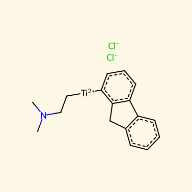 CN(C)C[CH2][Ti+2][c]1cccc2c1Cc1ccccc1-2.[Cl-].[Cl-]